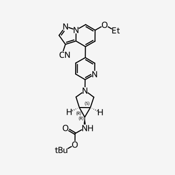 CCOc1cc(-c2ccc(N3C[C@@H]4[C@H](C3)[C@@H]4NC(=O)OC(C)(C)C)nc2)c2c(C#N)cnn2c1